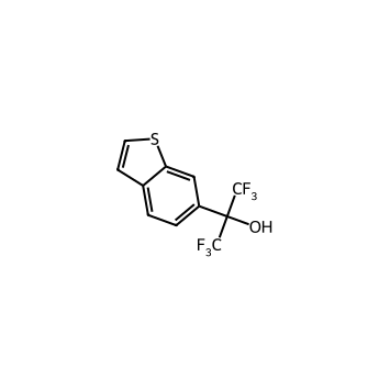 OC(c1ccc2ccsc2c1)(C(F)(F)F)C(F)(F)F